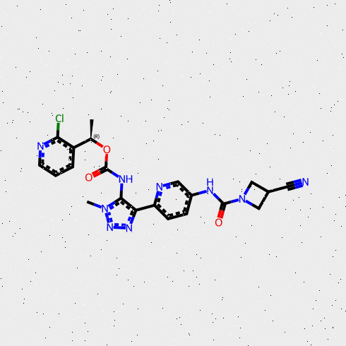 C[C@@H](OC(=O)Nc1c(-c2ccc(NC(=O)N3CC(C#N)C3)cn2)nnn1C)c1cccnc1Cl